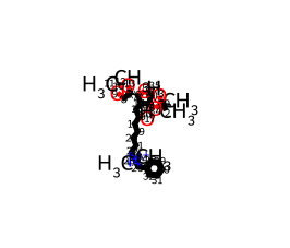 CC1(C)O[C@H]2OC([C@H]3COC(C)(C)O3)C(CC(=O)CCCCC[N+](C)(C)Cc3ccccc3)[C@H]2O1